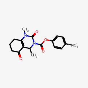 CC1C2=C(CCCC2=O)N(C)C(=O)N1C(=O)Oc1ccc([N+](=O)[O-])cc1